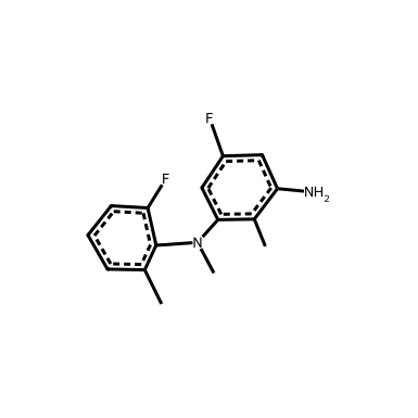 Cc1cccc(F)c1N(C)c1cc(F)cc(N)c1C